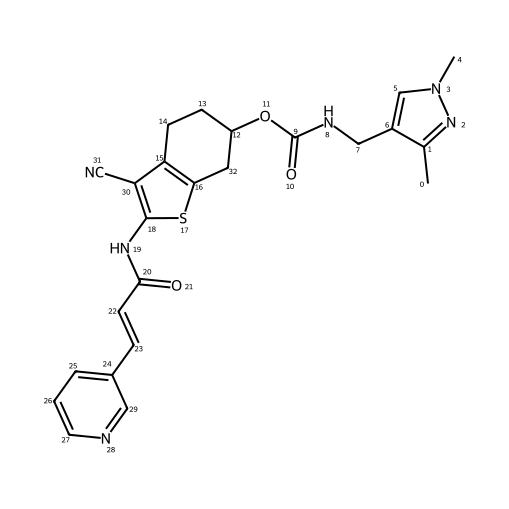 Cc1nn(C)cc1CNC(=O)OC1CCc2c(sc(NC(=O)/C=C/c3cccnc3)c2C#N)C1